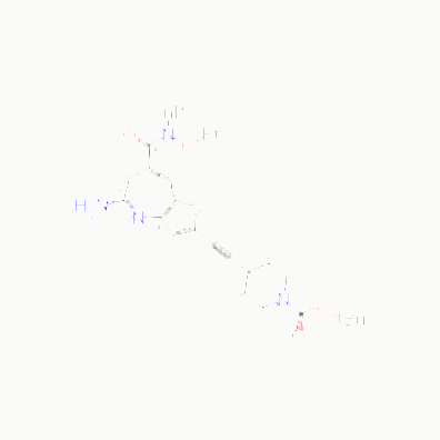 CCCN(OCC)C(=O)C1=Cc2sc(C#CC3CCN(C(=O)OC(C)(C)C)CC3)cc2N=C(N)C1